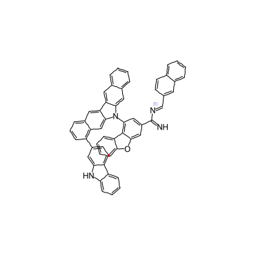 N=C(/N=C/c1ccc2ccccc2c1)c1cc(-n2c3cc4ccccc4cc3c3cc4cccc(-c5ccc6c(c5)[nH]c5ccccc56)c4cc32)c2c(c1)oc1ccccc12